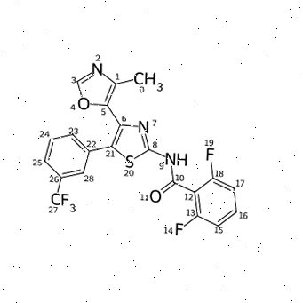 Cc1ncoc1-c1nc(NC(=O)c2c(F)cccc2F)sc1-c1cccc(C(F)(F)F)c1